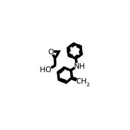 C=C1C=CC=CC1Nc1ccccc1.OCC1CO1